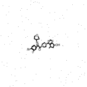 CC1C[C@@H](O)c2ncnc(N3CCN(C(=O)[C@H](CNC4CCOCC4)c4ccc(Br)c(F)c4)CC3)c21